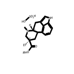 CC[C@@]1(C(=O)OC)CC2c3cccc4[nH]cc(c34)C[C@H]2N(C)C1.O=S(=O)(O)O